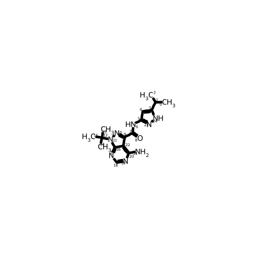 CC(C)c1cc(NC(=O)c2nn(C(C)(C)C)c3ncnc(N)c23)n[nH]1